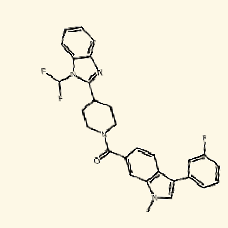 Cn1cc(-c2cccc(F)c2)c2ccc(C(=O)N3CCC(c4nc5ccccc5n4C(F)F)CC3)cc21